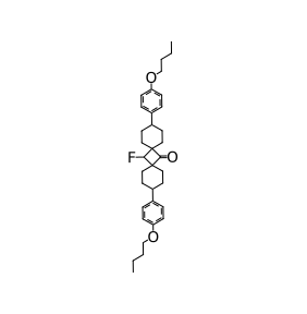 CCCCOc1ccc(C2CCC3(CC2)C(=O)C2(CCC(c4ccc(OCCCC)cc4)CC2)C3F)cc1